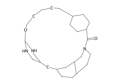 O=C1C2CCC(CCCCCOC3NCC(CN3)CC3CCC4CCN1CC4C3)CC2